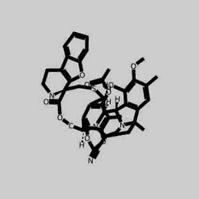 COc1c(C)cc2c(c1O)[C@H]1[C@@H]3[C@@H]4SC[C@]5(NCCc6c5oc5ccccc65)C(=O)OC[C@@H](c5c6c(c(C)c(OC(C)=O)c54)OCO6)N3C3(C#N)CN1C2(C)C3